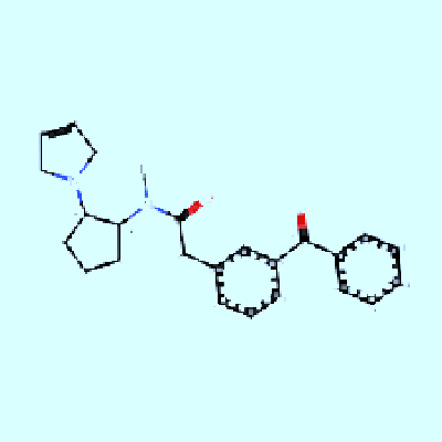 CCN(C(=O)Cc1cccc(C(=O)c2ccccc2)c1)C1CCCC1N1CC=CC1